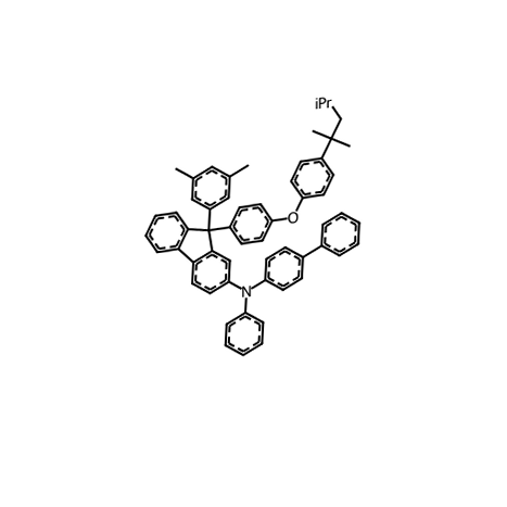 Cc1cc(C)cc(C2(c3ccc(Oc4ccc(C(C)(C)CC(C)C)cc4)cc3)c3ccccc3-c3ccc(N(c4ccccc4)c4ccc(-c5ccccc5)cc4)cc32)c1